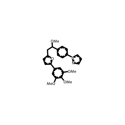 COc1cc(-c2ccc(CC(OC)c3ccc(-n4cccn4)cc3)o2)cc(OC)c1OC